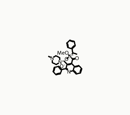 CO[N+]([O-])(C(=O)c1c(C[N+]2([O-])CCN(C)CC2)c(-c2ccccc2)nc2ccccc12)C(C)c1ccccc1